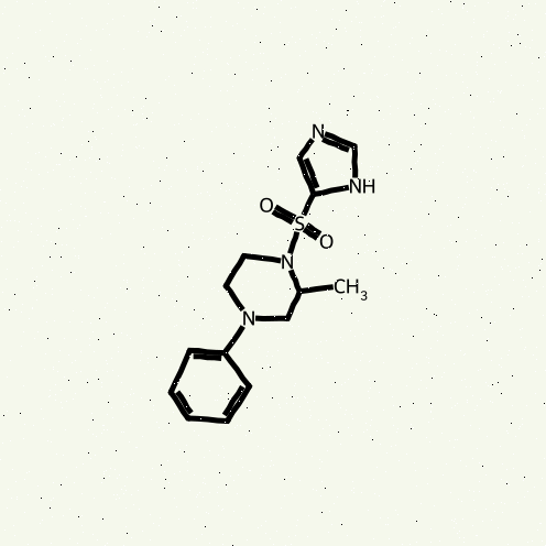 CC1CN(c2ccccc2)CCN1S(=O)(=O)c1cnc[nH]1